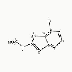 O=C(O)Oc1cc2cccc(Cl)c2[nH]1